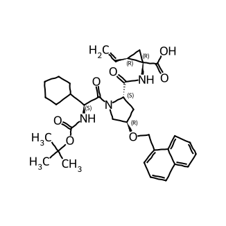 C=C[C@H]1C[C@]1(NC(=O)[C@@H]1C[C@@H](OCc2cccc3ccccc23)CN1C(=O)[C@@H](NC(=O)OC(C)(C)C)C1CCCCC1)C(=O)O